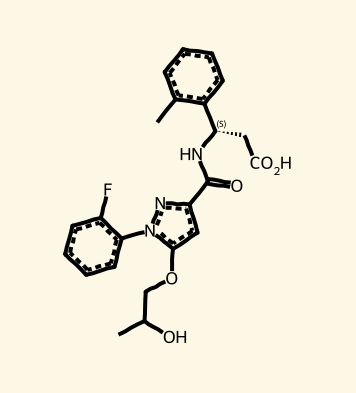 Cc1ccccc1[C@H](CC(=O)O)NC(=O)c1cc(OCC(C)O)n(-c2ccccc2F)n1